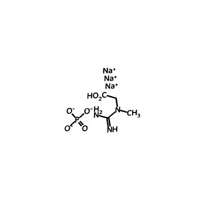 CN(CC(=O)O)C(=N)N.O=P([O-])([O-])[O-].[Na+].[Na+].[Na+]